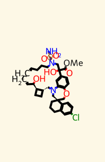 C=CCCCN(CC(O)(C(=O)OC)c1ccc2c(c1)N(C[C@@H]1CC[C@H]1C(O)C=C)C[C@@]1(CCCc3cc(Cl)ccc31)CO2)S(N)(=O)=O